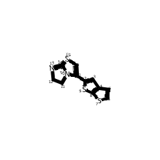 C1=C(c2cc3ccsc3s2)N2CCN=C2S1